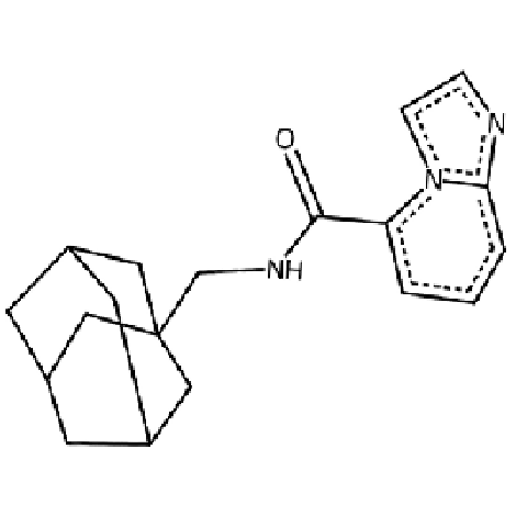 O=C(NCC12CC3CC(CC(C3)C1)C2)c1cccc2nccn12